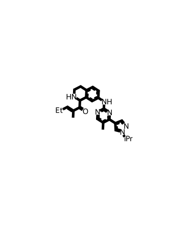 CCC=C(C)C(=O)C1NCCc2ccc(Nc3ncc(C)c(-c4cnn(C(C)C)c4)n3)cc21